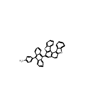 Cc1ccc(-c2c3ccccc3c(-c3cc4ccc5sc6ccccc6c5c4c4c3sc3ccccc34)c3ccccc23)cc1